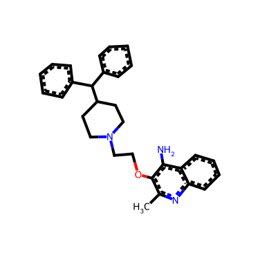 Cc1nc2ccccc2c(N)c1OCCN1CCC(C(c2ccccc2)c2ccccc2)CC1